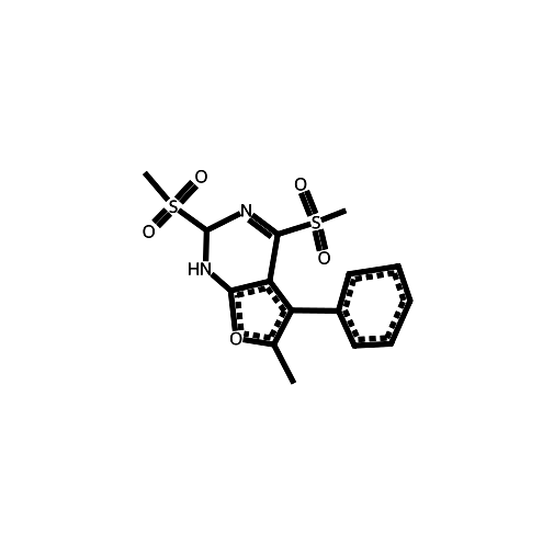 Cc1oc2c(c1-c1ccccc1)C(S(C)(=O)=O)=NC(S(C)(=O)=O)N2